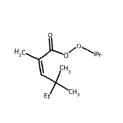 CCC(C)(C)/C=C(/C)C(=O)OO[C](C)C